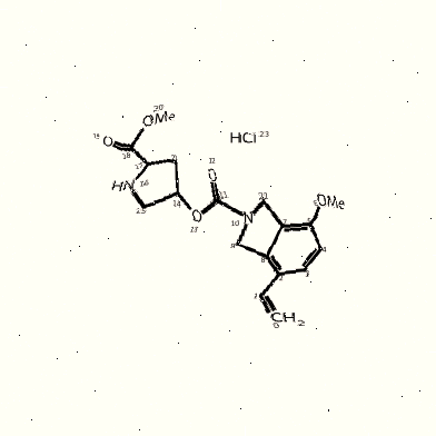 C=Cc1ccc(OC)c2c1CN(C(=O)OC1CNC(C(=O)OC)C1)C2.Cl